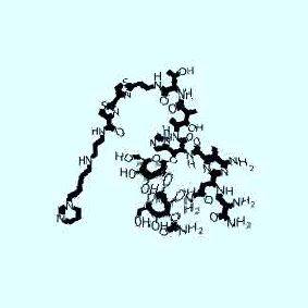 Cc1c(N)nc(C(CC(N)=O)NCC(N)C(N)=O)nc1C(=O)NC(C(=O)NC(C)C(O)C(C)C(=O)NC(C(=O)NCCc1nc(-c2nc(C(=O)NCCCNCCCCN3C=NCCC3)cs2)cs1)C(C)O)C(O[C@H]1O[C@H](CO)[C@H](O)[C@@H](O)[C@@H]1O[C@H]1O[C@H](CO)[C@@H](O)[C@H](OC(N)=O)[C@@H]1O)c1cnc[nH]1